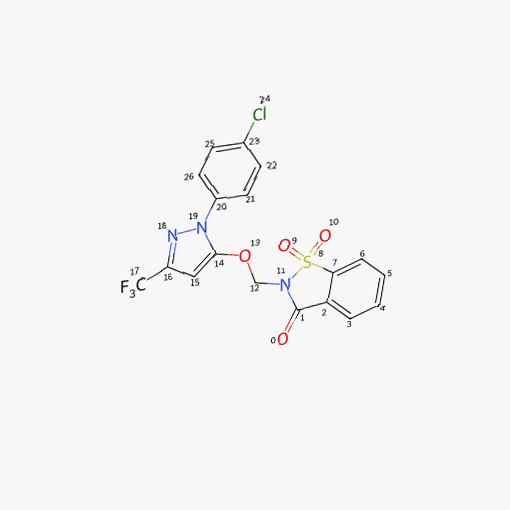 O=C1c2ccccc2S(=O)(=O)N1COc1cc(C(F)(F)F)nn1-c1ccc(Cl)cc1